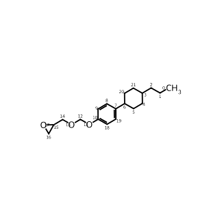 CCCC1CCC(c2ccc(OCOCC3CO3)cc2)CC1